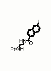 CCNCCNC(=O)c1ccc2cc(I)ccc2c1